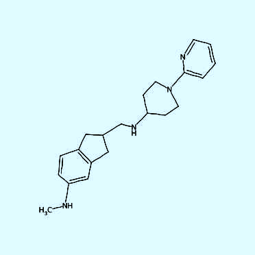 CNc1ccc2c(c1)CC(CNC1CCN(c3ccccn3)CC1)C2